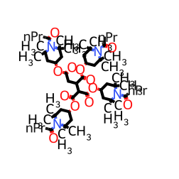 CCCC(=O)N1C(C)(C)CC(OC(=O)CC(C(=O)OC2CC(C)(C)N(C(=O)CCC)C(C)(C)C2)C(C(=O)OC2CC(C)(C)N(C(=O)CCC)C(C)(C)C2)C(=O)OC2CC(C)(C)N(C(=O)CCC)C(C)(C)C2)CC1(C)C